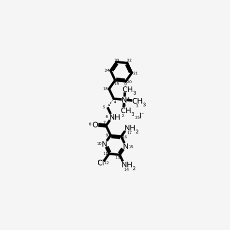 C[N+](C)(C)[C@H](CNC(=O)c1nc(Cl)c(N)nc1N)Cc1ccccc1.[I-]